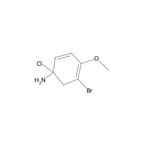 COC1=C(Br)CC(N)(Cl)C=C1